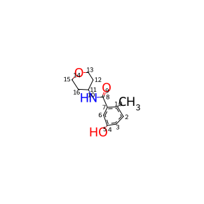 Cc1ccc(O)cc1C(=O)NC1CCOCC1